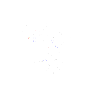 CCC[C@@H](CC(=O)NS(=O)(=O)C1CC1)n1c(=O)n(Cc2cn(C)c3cccc(C)c23)c2ccccc21